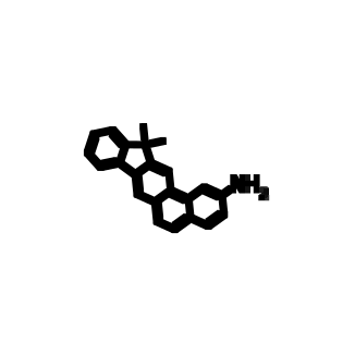 CC1(C)c2ccccc2-c2cc3ccc4ccc(N)cc4c3cc21